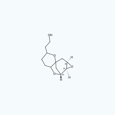 OCCC1CCC2O[C@@H]3CC2(C[C@H]2O[C@@H]32)O1